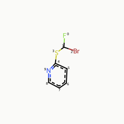 FC(Br)Sc1ccccn1